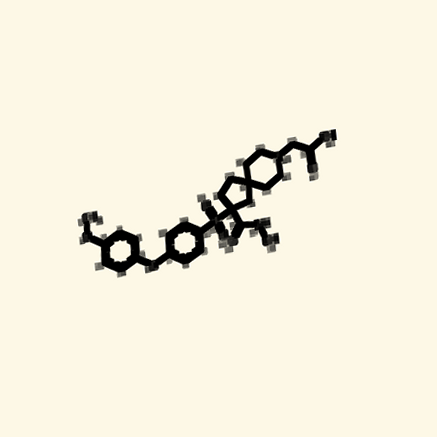 COc1ccc(Oc2ccc(S(=O)(=O)C3(C(=O)NO)CCC4(CCN(CC(=O)O)CC4)C3)cc2)cc1